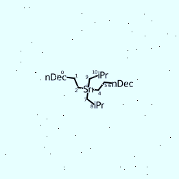 CCCCCCCCCCC[CH2][Sn]([CH2]CCCCCCCCCCC)([CH2]C(C)C)[CH2]C(C)C